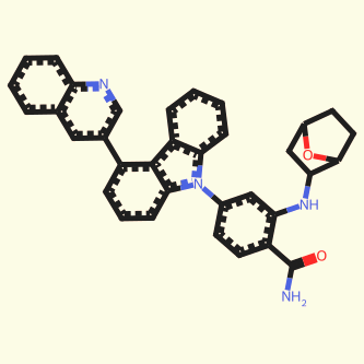 NC(=O)c1ccc(-n2c3ccccc3c3c(-c4cnc5ccccc5c4)cccc32)cc1NC1CC2CCC1O2